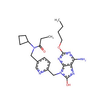 CCCCOc1nc(N)c2nc(O)n(Cc3ccc(CN(C(=O)CC)C4CCC4)cn3)c2n1